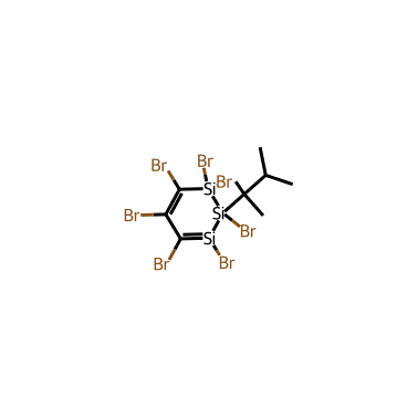 CC(C)C(C)(C)[Si]1(Br)[Si](Br)=C(Br)C(Br)=C(Br)[Si]1(Br)Br